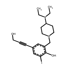 CCN(CC)C1CCN(Cc2cc(C#CCO)cc(I)c2O)CC1